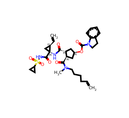 C=CCCCCN(C)C(=O)[C@@H]1C[C@H](OC(=O)N2CCc3ccccc32)C[C@H]1C(=O)N[C@]1(C(=O)NS(=O)(=O)C2CC2)C[C@H]1C=C